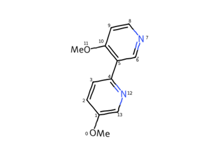 COc1ccc(-c2[c]nccc2OC)nc1